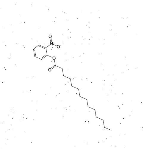 CCCCCCCCCCCCCC(=O)Oc1ccccc1[N+](=O)[O-]